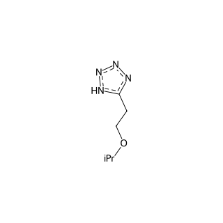 CC(C)OCCc1nnn[nH]1